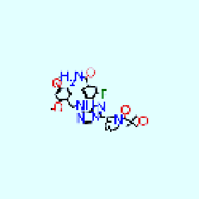 COc1ccc(CNc2nccn3c([C@@H]4CCCN(C(=O)C5(C)COC5)C4)nc(-c4ccc(C(N)=O)cc4F)c23)c(OC)c1